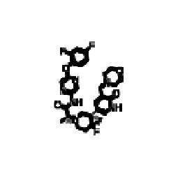 C[C@@H](C(=O)Nc1cnc(Oc2ccc(F)cc2F)cn1)N1CCC(F)(F)[C@@H](c2c[nH]c(=O)c(CN3CCOCC3)c2)C1